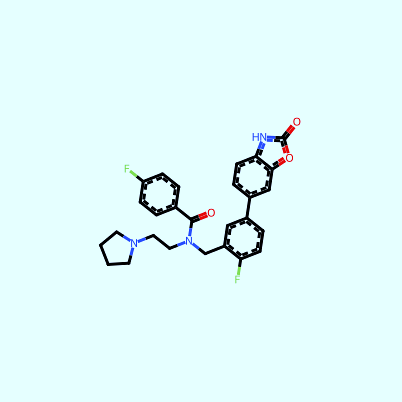 O=C(c1ccc(F)cc1)N(CCN1CCCC1)Cc1cc(-c2ccc3[nH]c(=O)oc3c2)ccc1F